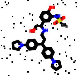 CS(=O)(=O)Nc1cc([C@H](CO)NCCC(c2ccc(N3CCCC3)cc2)c2ccc(N3CCCC3)cc2)ccc1O